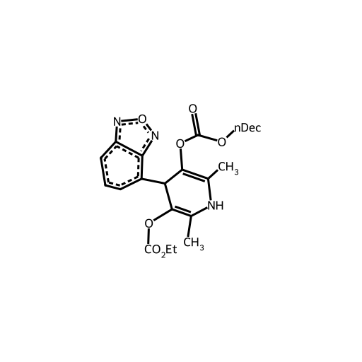 CCCCCCCCCCOC(=O)OC1=C(C)NC(C)=C(OC(=O)OCC)C1c1cccc2nonc12